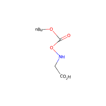 CCCCOC(=O)ONCC(=O)O